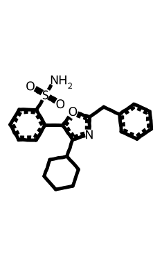 NS(=O)(=O)c1ccccc1-c1oc(Cc2ccccc2)nc1C1CCCCC1